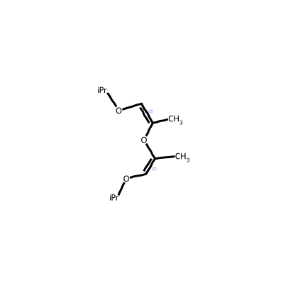 C/C(=C/OC(C)C)O/C(C)=C\OC(C)C